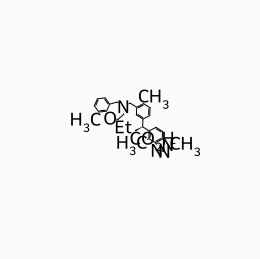 CC[C@@H]1CN(Cc2cc([C@H](CC(=O)O)c3ccc4c(nnn4C)c3C)ccc2C)Cc2cccc(C)c2O1